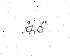 COc1cccc(C2CCc3c(Cl)nc(Cl)nc32)c1